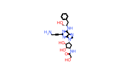 NCC#Cc1nc(N[C@H](CO)Cc2ccccc2)c2ncn([C@@H]3C[C@H](NC(=O)CO)[C@@H](O)[C@H]3O)c2n1